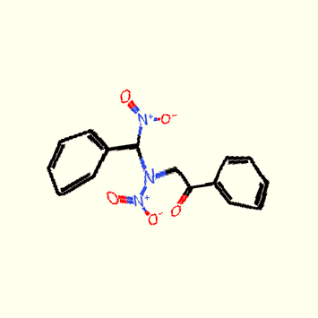 O=C(CN(C(c1ccccc1)[N+](=O)[O-])[N+](=O)[O-])c1ccccc1